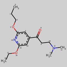 CCCOc1cc(C(=O)CCN(C)C)cc(OCC)n1